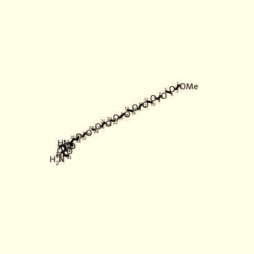 COCCOCCOCCOCCOCCOCCOCCOCCOCCOCCOCCOCCC(=O)N[C@H]1CO[C@H]2[C@@H]1OC[C@@H]2N